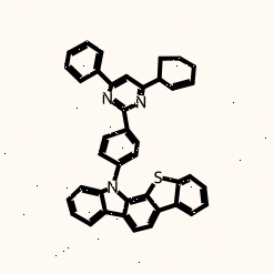 C1=CC(c2cc(-c3ccccc3)nc(-c3ccc(-n4c5ccccc5c5ccc6c7ccccc7sc6c54)cc3)n2)CCC1